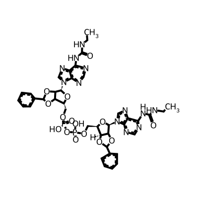 CCNC(=O)Nc1ncnc2c1ncn2[C@@H]1O[C@H](COP(=O)(O)OP(=O)(O)OC[C@H]2O[C@@H](n3cnc4c(NC(=O)NCC)ncnc43)C3OC(c4ccccc4)O[C@H]32)C2OC(c3ccccc3)OC21